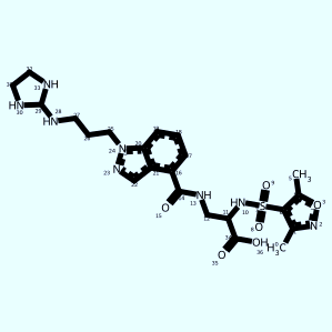 Cc1noc(C)c1S(=O)(=O)NC(CNC(=O)c1cccc2c1cnn2CCCNC1NCCN1)C(=O)O